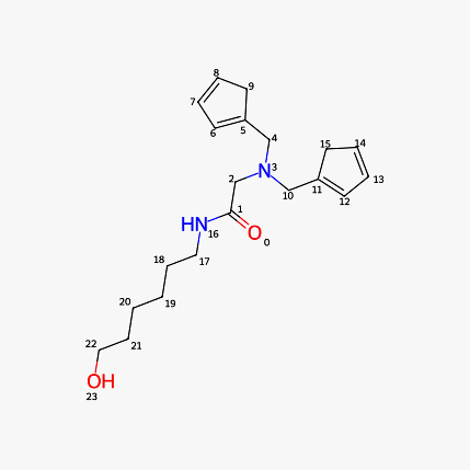 O=C(CN(CC1=CC=CC1)CC1=CC=CC1)NCCCCCCO